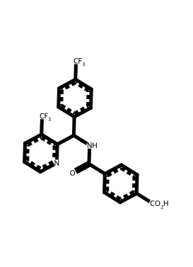 O=C(O)c1ccc(C(=O)NC(c2ccc(C(F)(F)F)cc2)c2ncccc2C(F)(F)F)cc1